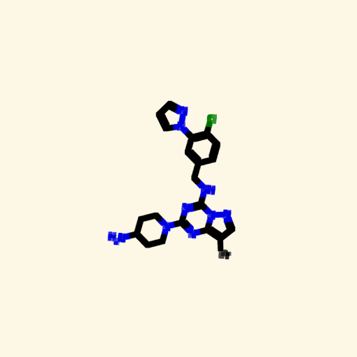 CC(C)c1cnn2c(NCc3ccc(Cl)c(-n4cccn4)c3)nc(N3CCC(N)CC3)nc12